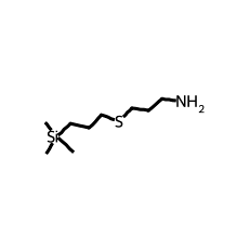 C[Si](C)(C)CCCSCCCN